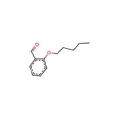 CCCCCOc1ccccc1[C]=O